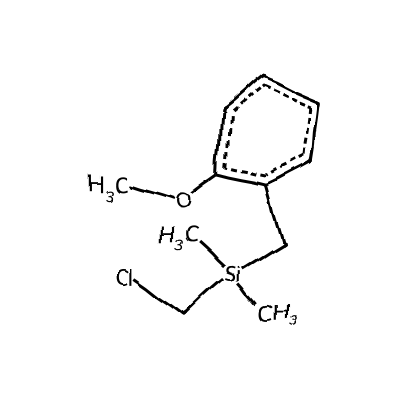 COc1ccccc1C[Si](C)(C)CCl